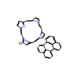 C1=Cc2cc3ccc(cc4nc(cc5ccc(cc1n2)[nH]5)C=C4)[nH]3.[Zn].c1cc2cccc3c4cccc5cccc(c(c1)c23)c54